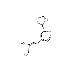 OC/C(O)=C\Cc1cc(C2OCCO2)ccn1